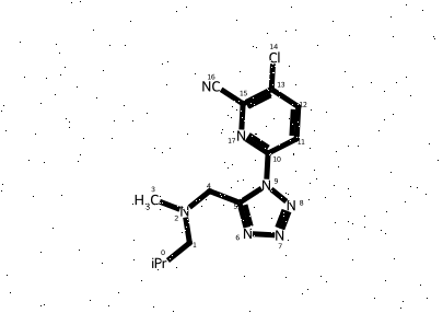 CC(C)CN(C)Cc1nnnn1-c1ccc(Cl)c(C#N)n1